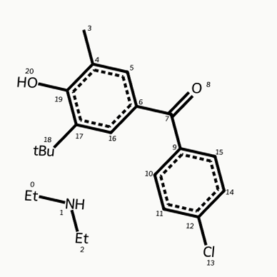 CCNCC.Cc1cc(C(=O)c2ccc(Cl)cc2)cc(C(C)(C)C)c1O